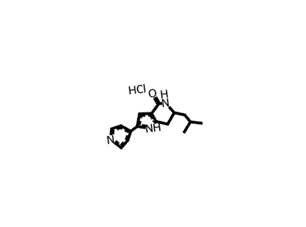 CC(C)CC1Cc2[nH]c(-c3ccncc3)cc2C(=O)N1.Cl